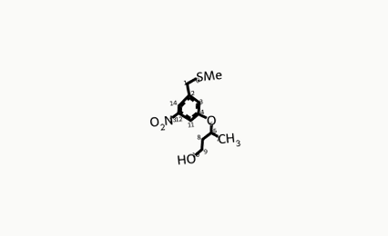 CSCc1cc(OC(C)CCO)cc([N+](=O)[O-])c1